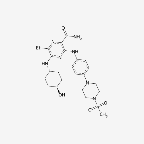 CCc1nc(C(N)=O)c(Nc2ccc(N3CCN(S(C)(=O)=O)CC3)cc2)nc1N[C@H]1CC[C@H](O)CC1